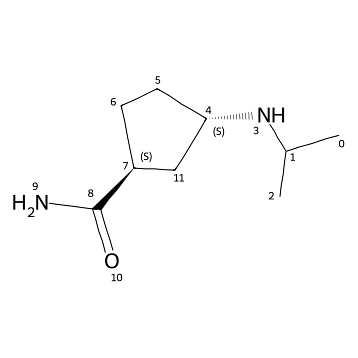 CC(C)N[C@H]1CC[C@H](C(N)=O)C1